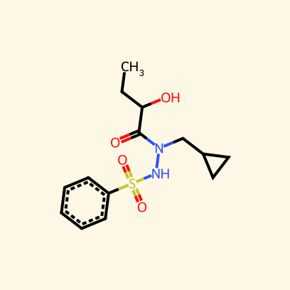 CCC(O)C(=O)N(CC1CC1)NS(=O)(=O)c1ccccc1